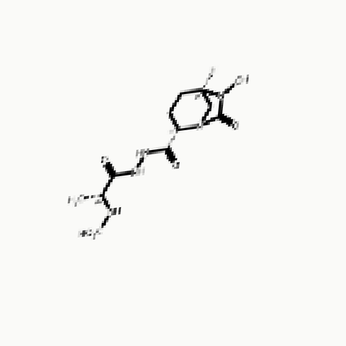 C[C@@H](NC(=O)O)C(=O)NNC(=O)[C@@H]1CC[C@@H]2CN1C(=O)N2O